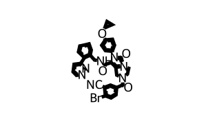 N#Cc1cc(C(=O)N2CCn3c(c(C(=O)NCc4ccccc4-c4cccnn4)n(-c4ccc(OC5CC5)cc4)c3=O)C2)ccc1Br